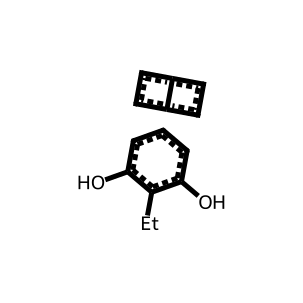 CCc1c(O)cccc1O.c1cc2ccc1-2